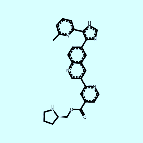 Cc1cccc(-c2[nH]cnc2-c2ccc3ncc(-c4cc(C(=O)OC[C@H]5CCCN5)ccn4)cc3c2)n1